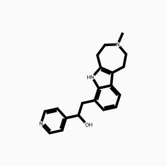 CN1CCc2[nH]c3c(CC(O)c4ccncc4)cccc3c2CC1